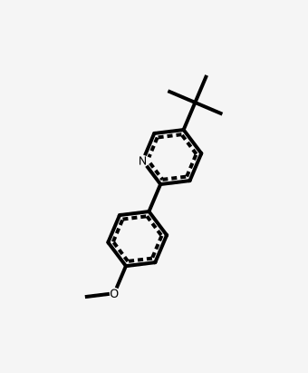 COc1ccc(-c2ccc(C(C)(C)C)cn2)cc1